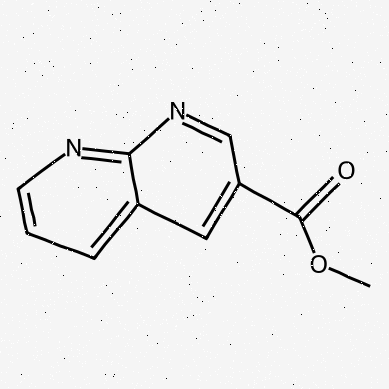 COC(=O)c1cnc2ncccc2c1